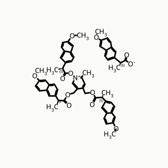 COc1ccc2cc([C@H](C)C(=O)OCc3cc(C)[n+](OC(=O)[C@@H](C)c4ccc5cc(OC)ccc5c4)cc3COC(=O)[C@@H](C)c3ccc4cc(OC)ccc4c3)ccc2c1.COc1ccc2cc([C@H](C)C(=O)[O-])ccc2c1